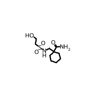 NC(=O)C1([CH]NS(=O)(=O)CCO)CCCCC1